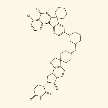 O=C1CC[C@H](N2Cc3c(ccc4c3OCC43CCN(CC4CCCC(c5ccc6c(c5)C5(CCCCC5)c5nc(=O)c7c(Cl)cccc7n5-6)C4)CC3)C2=O)C(=O)N1